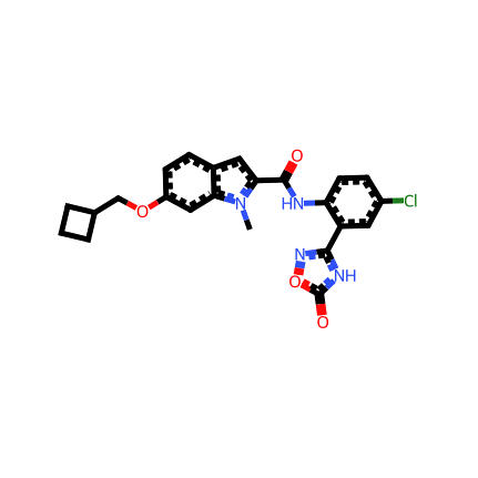 Cn1c(C(=O)Nc2ccc(Cl)cc2-c2noc(=O)[nH]2)cc2ccc(OCC3CCC3)cc21